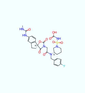 CNC(=O)Nc1ccc2c(c1)CC[C@@]21OC(=O)N(CC(=O)N(Cc2ccc(F)cc2)[C@H]2CCCN(S(=O)(=O)NC(=O)O)C2)C1=O